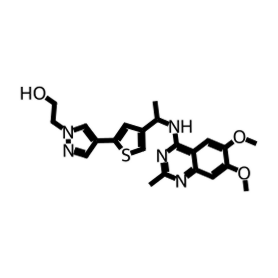 COc1cc2nc(C)nc(NC(C)c3csc(-c4cnn(CCO)c4)c3)c2cc1OC